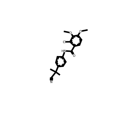 COc1ccc(C(=O)Nc2ccc(C(C)(C)C#N)cc2)c(Cl)c1OC